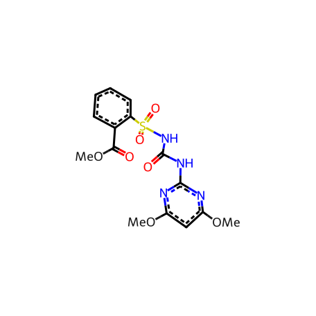 COC(=O)c1ccccc1S(=O)(=O)NC(=O)Nc1nc(OC)cc(OC)n1